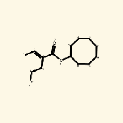 CC=C(CCC(C)C)C(=O)OC1CCCCCCC1